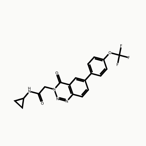 O=C(Cn1nnc2ccc(-c3ccc(OC(F)(F)F)cc3)cc2c1=O)NC1CC1